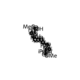 COC(=O)N[C@@H](CO)C(=O)N1[C@@H](C)CC[C@H]1c1nc2c([nH]1)C1=CC3=C(CC1C=C2)c1ccc(-c2cnc([C@@H]4CC[C@H](C)N4C(=O)[C@@H](NC(=O)OC)C(C)C)[nH]2)cc1CO3